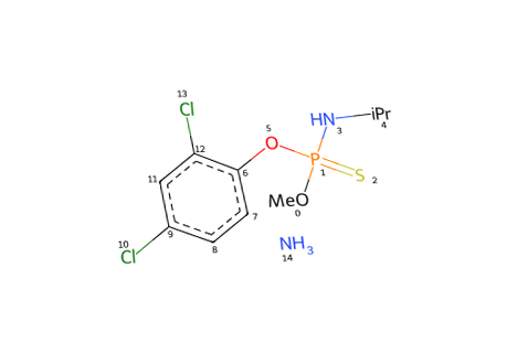 COP(=S)(NC(C)C)Oc1ccc(Cl)cc1Cl.N